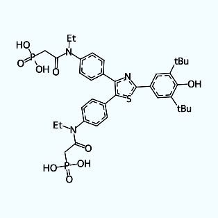 CCN(C(=O)CP(=O)(O)O)c1ccc(-c2nc(-c3cc(C(C)(C)C)c(O)c(C(C)(C)C)c3)sc2-c2ccc(N(CC)C(=O)CP(=O)(O)O)cc2)cc1